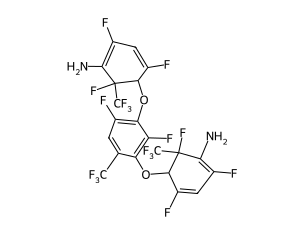 NC1=C(F)C=C(F)C(Oc2c(F)cc(C(F)(F)F)c(OC3C(F)=CC(F)=C(N)C3(F)C(F)(F)F)c2F)C1(F)C(F)(F)F